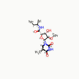 [2H]CC(NC(=O)[C@H]1O[C@H](n2cc(C)c(=O)[nH]c2=O)C(OCCC)[C@H]1O)C(C)=O